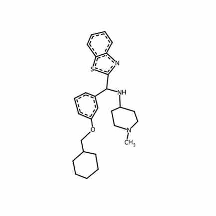 CN1CCC(NC(c2cccc(OCC3CCCCC3)c2)c2nc3ccccc3s2)CC1